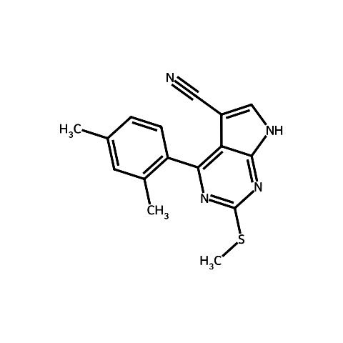 CSc1nc(-c2ccc(C)cc2C)c2c(C#N)c[nH]c2n1